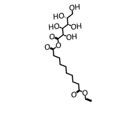 C=COC(=O)CCCCCCCCC(=O)OC(=O)[C@H](O)[C@@H](O)[C@H](O)[C@H](O)CO